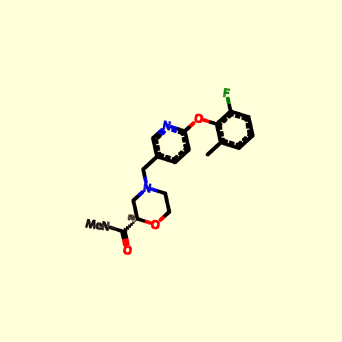 CNC(=O)[C@@H]1CN(Cc2ccc(Oc3c(C)cccc3F)nc2)CCO1